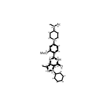 COc1cc(N2CCC(N(C)C(C)=O)CC2)ccc1-c1nc2c(C)nn(C3CCCCC3)c2c(=O)[nH]1